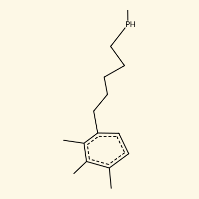 CPCCCCCc1ccc(C)c(C)c1C